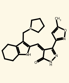 Cc1cc(C2=NNC(=O)C2=Cc2[nH]c3c(c2CN2CCCC2)CCCC3)no1